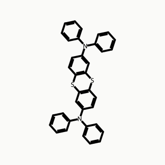 c1ccc(N(c2ccccc2)c2ccc3c(c2)Sc2ccc(N(c4ccccc4)c4ccccc4)cc2S3)cc1